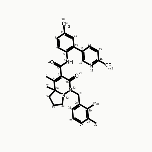 CC1=C(C(=O)Nc2ccc(C(F)(F)F)cc2-c2ccc(C(F)(F)F)nc2)C(=O)N(Cc2cccc(C)c2F)N2CCCC12C